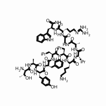 CC(C)C[C@H](NC(=O)[C@H](CCCCN)NC(=O)[C@H](CC(C)C)NC(=O)[C@H](CC(C)C)NC(=O)[C@H](Cc1ccccc1)NC(=O)[C@H](Cc1ccc(O)cc1)NC(=O)[C@H](C)NC(=O)[C@@H](N)[C@@H](C)O)C(=O)N[C@@H](C)C(=O)NCC(=O)N[C@@H](CCCN=C(N)N)C(=O)N[C@@H](Cc1c[nH]c2ccccc12)C(N)=O